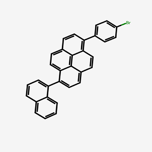 Brc1ccc(-c2ccc3ccc4c(-c5cccc6ccccc56)ccc5ccc2c3c54)cc1